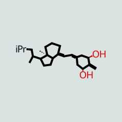 C=C1[C@H](O)CC(=C/C=C2\CCC[C@@]3(C)C2CCC3C(C)CC(C)C)C[C@H]1O